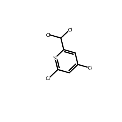 Clc1cc(Cl)nc(C(Cl)Cl)c1